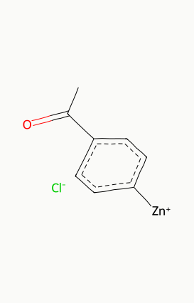 CC(=O)c1cc[c]([Zn+])cc1.[Cl-]